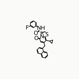 O=C(Nc1cccc(F)c1)[C@@H]1CSc2c(C3CC3)c(Cc3cccc4ccccc34)cc(=O)n21